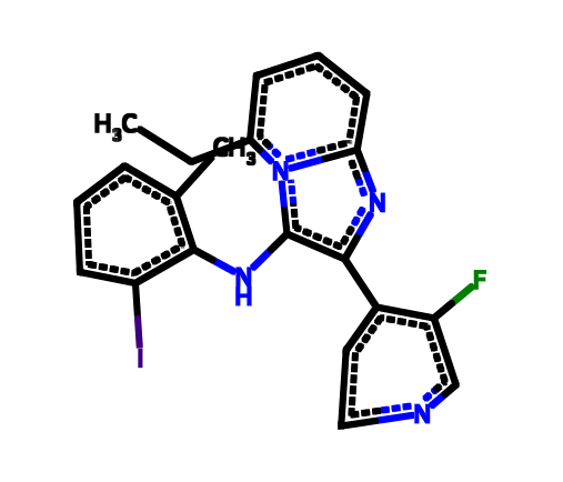 CCc1cccc2nc(-c3ccncc3F)c(Nc3c(C)cccc3I)n12